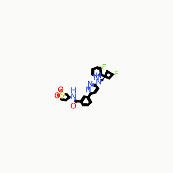 O=C(NC1CCS(=O)(=O)C1)c1cccc(-c2ccc(NC[C@]3(c4ncccc4F)C[C@H](F)C3)nn2)c1